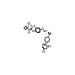 CC1(NC(=O)Cc2ccc(OCC[C@@H]3C[C@@H]3C3CCN(C4=NC=C(Cl)CN4)CC3)cc2F)CCC1